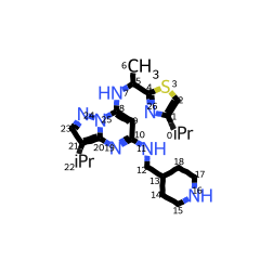 CC(C)c1csc(C(C)Nc2cc(NCC3CCNCC3)nc3c(C(C)C)cnn23)n1